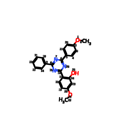 COc1ccc(-c2nc(-c3ccccc3)nc(-c3ccc(OC)cc3O)n2)cc1